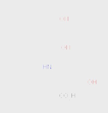 O=C(O)C(CO)NC(O)c1ccccc1O